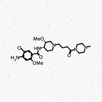 COc1cc(N)c(Cl)cc1C(=O)N[C@@H]1CCN(CCCC(=O)N2CCN(C)CC2)C[C@@H]1OC